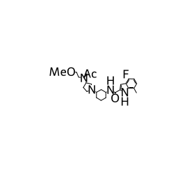 COCCN(C(C)=O)C1CCN([C@H]2CCC[C@@H](NC(=O)c3cc4c(F)ccc(C)c4[nH]3)C2)C1